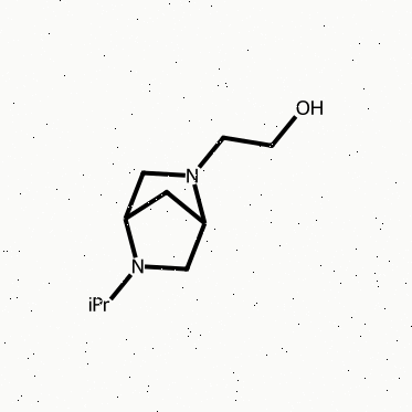 CC(C)N1CC2CC1CN2CCO